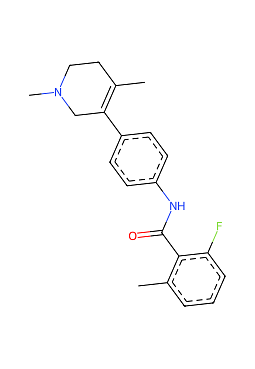 CC1=C(c2ccc(NC(=O)c3c(C)cccc3F)cc2)CN(C)CC1